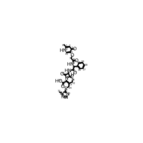 Cc1cc(=O)c(OCC(=O)NC(C(=O)NC2C(=O)N3C(C(=O)O)=C(CSc4nnnn4C)CS[C@H]23)c2ccccc2)c[nH]1